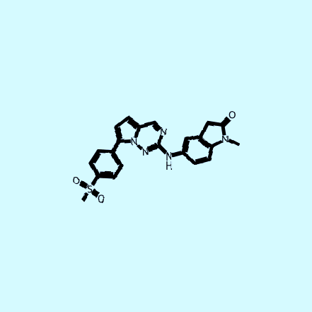 CN1C(=O)Cc2cc(Nc3ncc4ccc(-c5ccc(S(C)(=O)=O)cc5)n4n3)ccc21